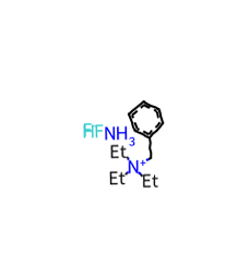 CC[N+](CC)(CC)Cc1ccccc1.F.N.[F-]